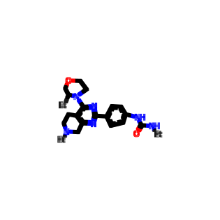 CCNC(=O)Nc1ccc(-c2nc3c(c(N4CCOCC4CC)n2)CCN(CC)C3)cc1